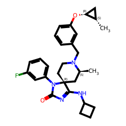 C[C@H]1C[C@H]1Oc1cccc(CN2CC[C@@]3(C[C@@H]2C)C(NC2CCC2)=NC(=O)N3c2cccc(F)c2)c1